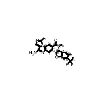 Cc1ncc2c(N)nc3ccc(C(=O)N(C)[C@@H]4COc5cc(C(F)(F)F)c(F)cc54)cc3n12